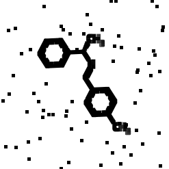 Cc1ccc(C=N[C@H](C)c2ccccc2)cc1